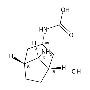 Cl.N[C@@H]1[C@@H]2CC[C@H]1C[C@@H](NC(=O)O)C2